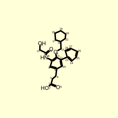 O=C(O)CCc1cc(NC(=O)CO)c(OCC2CCCCC2)c(-c2ccccc2)c1